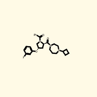 CC(C)C(=O)N1C[C@@H](Oc2cccc(F)c2)C[C@@H]1C(=O)N1CCCN(C2CCC2)CC1